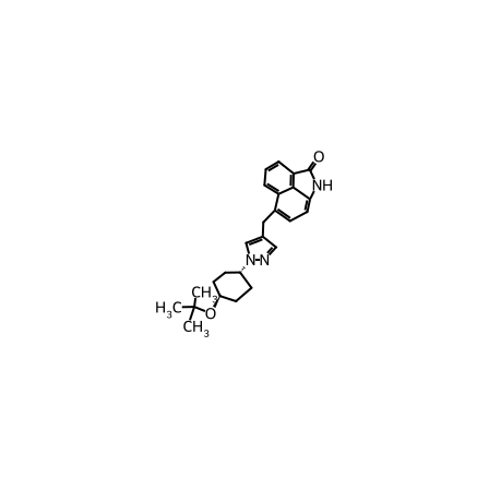 CC(C)(C)O[C@H]1CC[C@H](n2cc(Cc3ccc4c5c(cccc35)C(=O)N4)cn2)CC1